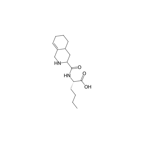 CCCC[C@H](NC(=O)C1CC2CCCC=C2CN1)C(=O)O